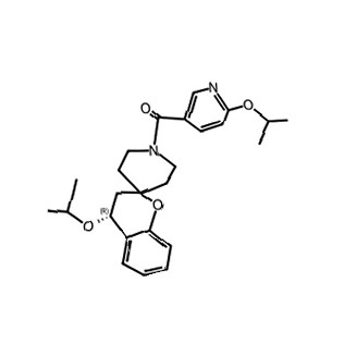 CC(C)Oc1ccc(C(=O)N2CCC3(CC2)C[C@@H](OC(C)C)c2ccccc2O3)cn1